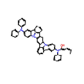 C/C=C\C=C(/O)N(c1ccc2c(c1)c1cccc3c4cc5c(cc4n2c13)c1c2n5-c3ccc(N(c4ccccc4)c4ccccc4)cc3C2CC=C1)C1C=CC=CC1